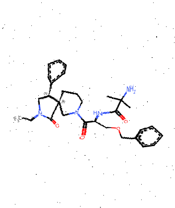 CC(C)(N)C(=O)NC(COCc1ccccc1)C(=O)N1CCC[C@@]2(C1)C(=O)N(CC(F)(F)F)C[C@H]2c1ccccc1